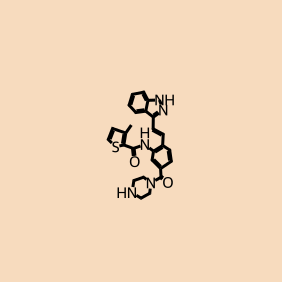 Cc1ccsc1C(=O)Nc1cc(C(=O)N2CCNCC2)ccc1/C=C/c1n[nH]c2ccccc12